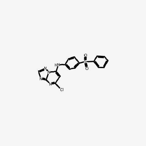 O=S(=O)(c1ccccc1)c1ccc(Nc2cc(Cl)nc3ncnn23)cc1